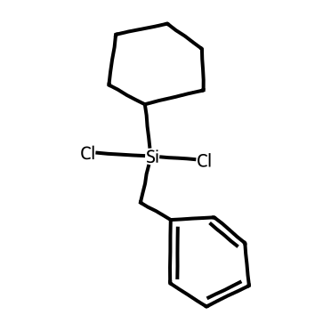 Cl[Si](Cl)(Cc1ccccc1)C1CCCCC1